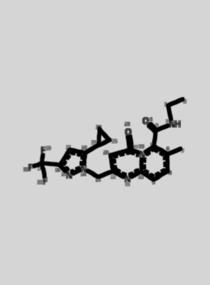 CCNC(=O)c1c(C)ccc2nc(Cn3nc(C(F)(F)F)cc3C3CC3)cc(=O)n12